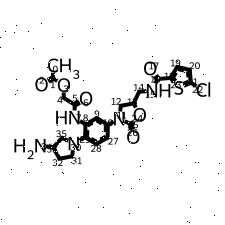 CC(=O)OCC(=O)Nc1cc(N2CC(CNC(=O)c3ccc(Cl)s3)OC2=O)ccc1N1CCC(N)C1